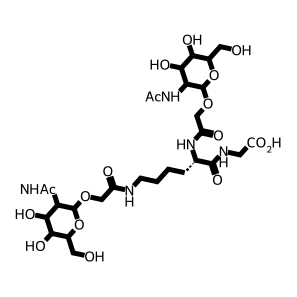 CC(=O)NC1C(OCC(=O)NCCCC[C@H](NC(=O)COC2OC(CO)C(O)C(O)C2NC(C)=O)C(=O)NCC(=O)O)OC(CO)C(O)C1O